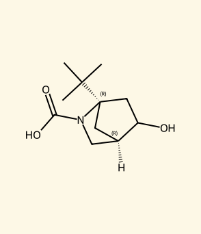 CC(C)(C)[C@@]12CC(O)[C@@H](CN1C(=O)O)C2